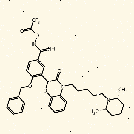 C[C@@H]1CCC[C@H](C)N1CCCCCN1C(=O)C(c2cc(C(=N)NOC(=O)C(F)(F)F)ccc2OCc2ccccc2)Oc2ccccc21